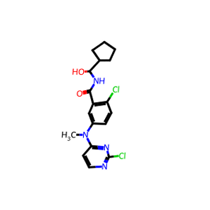 CN(c1ccc(Cl)c(C(=O)NC(O)C2CCCC2)c1)c1ccnc(Cl)n1